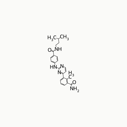 Cc1c(C(N)=O)cccc1-c1ccnc(Nc2ccc(C(=O)NCCC(C)C)cc2)n1